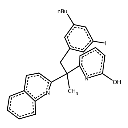 CCCCc1cc(I)cc(CC(C)(c2cccc(O)n2)c2ccc3ccccc3n2)c1